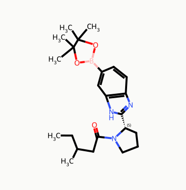 CCC(C)CC(=O)N1CCC[C@H]1c1nc2ccc(B3OC(C)(C)C(C)(C)O3)cc2[nH]1